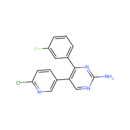 Nc1ncc(-c2ccc(Cl)nc2)c(-c2cccc(F)c2)n1